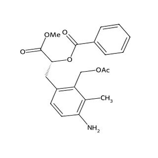 COC(=O)[C@@H](Cc1ccc(N)c(C)c1COC(C)=O)OC(=O)c1ccccc1